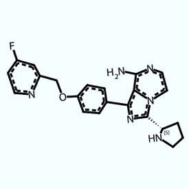 Nc1nccn2c([C@@H]3CCCN3)nc(-c3ccc(OCc4cc(F)ccn4)cc3)c12